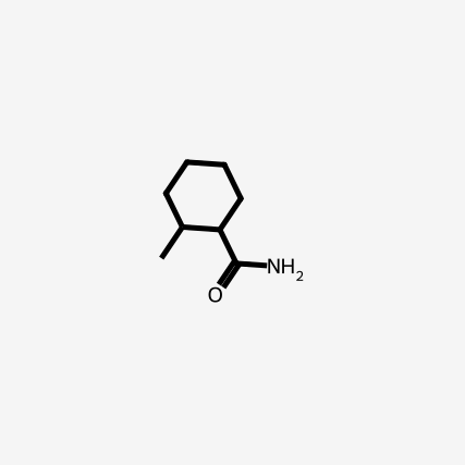 CC1CCCCC1C(N)=O